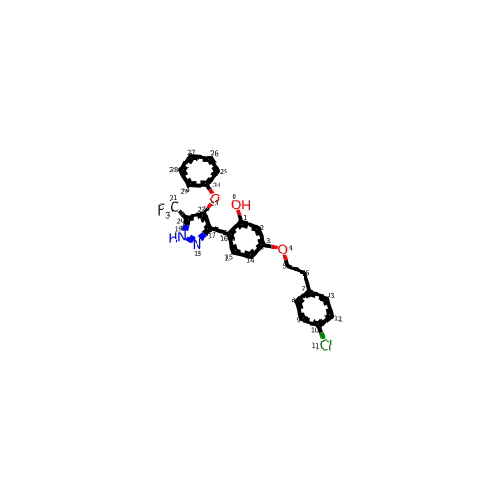 Oc1cc(OCCc2ccc(Cl)cc2)ccc1-c1n[nH]c(C(F)(F)F)c1Oc1ccccc1